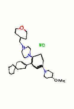 COC1CCN(c2ccc(N3CCN(CC4CCOCC4)CC3)c(C3=CCC4(CCCC4)CC3)c2)CC1.Cl